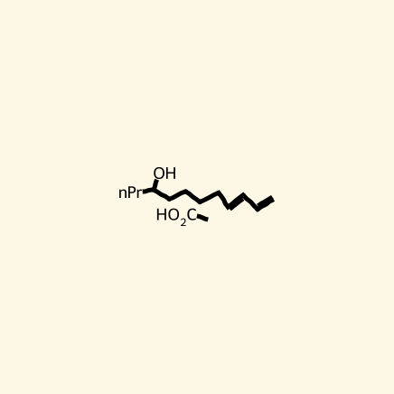 C=CC=CCCCCC(O)CCC.CC(=O)O